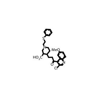 COc1ccc2ncc(Cl)c(C(=O)CCC3CCN(CCSc4ccccc4)CC3C(=O)O)c2c1